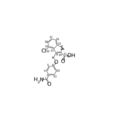 NC(=O)c1ccc(OCc2c(C(=O)O)sc3cccc(Cl)c23)cc1